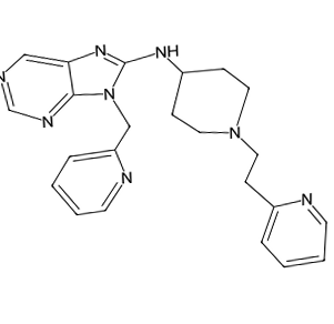 c1ccc(CCN2CCC(Nc3nc4cncnc4n3Cc3ccccn3)CC2)nc1